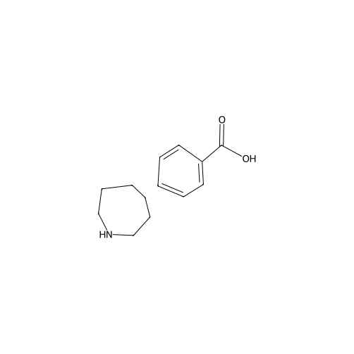 C1CCCNCC1.O=C(O)c1ccccc1